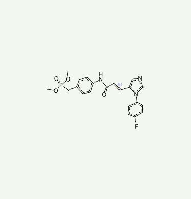 COP(=O)(Cc1ccc(NC(=O)/C=C/c2cncn2-c2ccc(F)cc2)cc1)OC